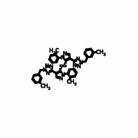 Cc1cccc(Cn2nnc(-c3cnn(-c4ccccc4C)c3SSc3c(-c4nnn(Cc5cccc(C)c5)n4)cnn3-c3ccccc3C)n2)c1